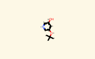 CC(C)(C)Oc1cncc(O)c1